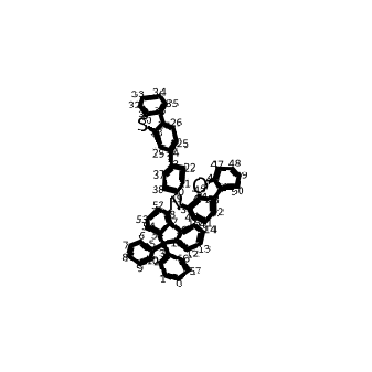 c1ccc(C2(c3ccccc3)c3ccccc3-c3c(N(c4ccc(-c5ccc6c(c5)sc5ccccc56)cc4)c4cccc5c4oc4ccccc45)cccc32)cc1